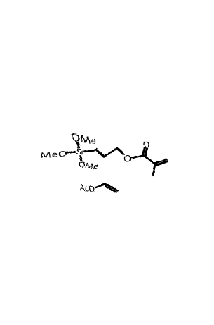 C=C(C)C(=O)OCCC[Si](OC)(OC)OC.C=COC(C)=O